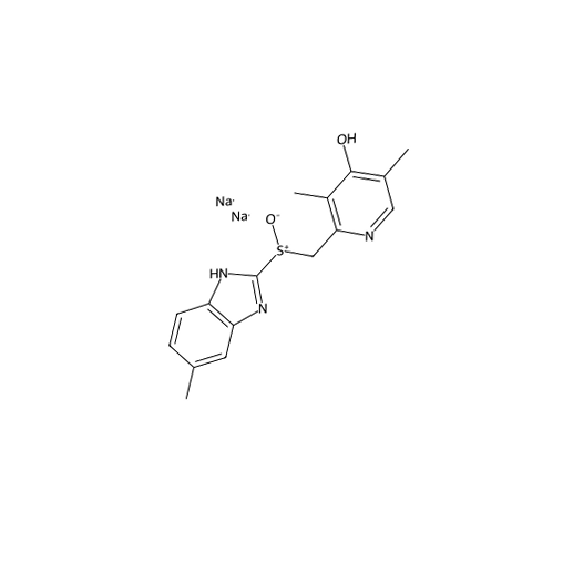 Cc1ccc2[nH]c([S+]([O-])Cc3ncc(C)c(O)c3C)nc2c1.[Na].[Na]